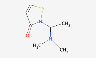 CC(N(C)C)n1sccc1=O